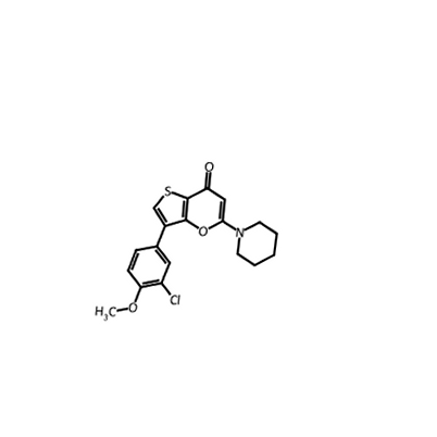 COc1ccc(-c2csc3c(=O)cc(N4CCCCC4)oc23)cc1Cl